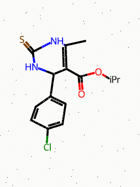 CC1=C(C(=O)OC(C)C)C(c2ccc(Cl)cc2)NC(=S)N1